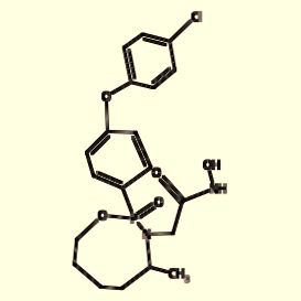 CC1CCCCOP(=O)(c2ccc(Oc3ccc(Cl)cc3)cc2)N1CC(=O)NO